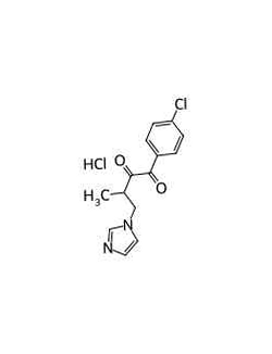 CC(Cn1ccnc1)C(=O)C(=O)c1ccc(Cl)cc1.Cl